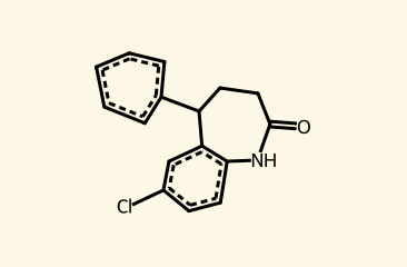 O=C1CCC(c2ccccc2)c2cc(Cl)ccc2N1